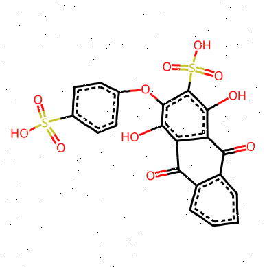 O=C1c2ccccc2C(=O)c2c(O)c(S(=O)(=O)O)c(Oc3ccc(S(=O)(=O)O)cc3)c(O)c21